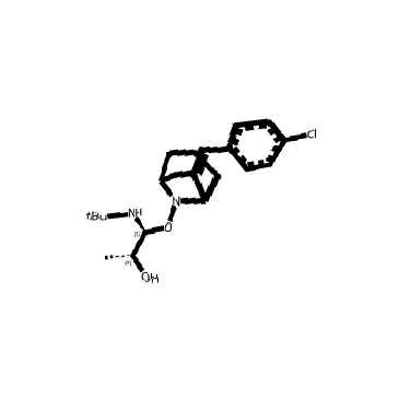 C[C@@H](O)[C@@H](NC(C)(C)C)ON1C2CCCC1C2=Cc1ccc(Cl)cc1